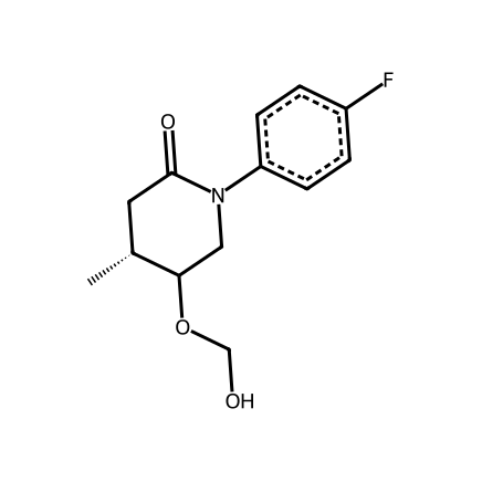 C[C@@H]1CC(=O)N(c2ccc(F)cc2)CC1OCO